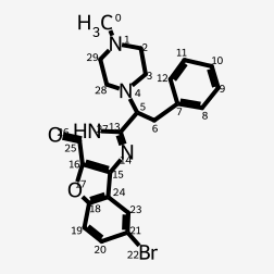 CN1CCN(C(Cc2ccccc2)c2nc3c(oc4ccc(Br)cc43)c(=O)[nH]2)CC1